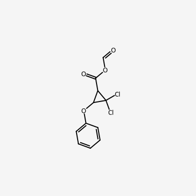 O=COC(=O)C1C(Oc2ccccc2)C1(Cl)Cl